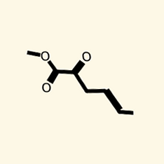 C/C=C/CC(=O)C(=O)OC